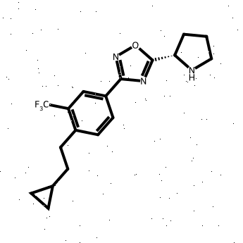 FC(F)(F)c1cc(-c2noc([C@@H]3CCCN3)n2)ccc1CCC1CC1